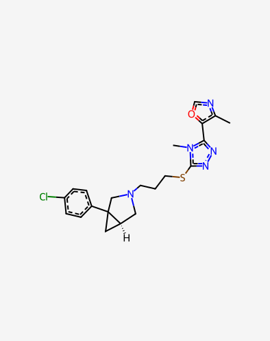 Cc1ncoc1-c1nnc(SCCCN2C[C@H]3CC3(c3ccc(Cl)cc3)C2)n1C